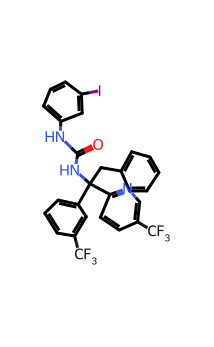 O=C(Nc1cccc(I)c1)NC(Cc1ccccc1)(c1cccc(C(F)(F)F)c1)c1ccc(C(F)(F)F)cn1